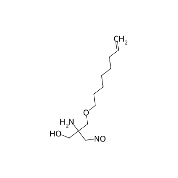 C=CCCCCCCOCC(N)(CO)CN=O